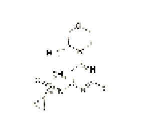 C[C@@H]1COCCN1c1cc(N=[S@](C)(=O)C2CC2)nc(Cl)n1